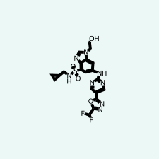 O=S(=O)(NCC1CC1)c1cc(Nc2ncc(-c3nnc(C(F)F)o3)cn2)cc2c1ncn2CCO